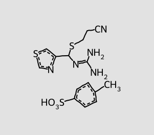 Cc1ccc(S(=O)(=O)O)cc1.N#CCCSC(N=C(N)N)c1cscn1